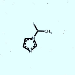 CC(I)n1ccnc1